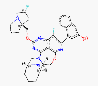 Oc1cc(-c2nc3c4c(nc(OC[C@@]56CCCN5C[C@H](F)C6)nc4c2F)N2C[C@@H]4CCC[C@@H](N4)[C@@H]2CO3)c2ccccc2c1